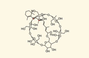 CC1=C(/C=C/C(C)=C/C=C/C(C)=C/C(O)OCC2OC3OC4C(CO)OC(OC5C(CO)OC(OC6C(CO)OC(OC7C(CO)OC(OC8C(CO)OC(OC2C(O)C3O)C(O)C8O)C(O)C7C)C(O)C6O)C(O)C5O)C(O)C4O)C(C)(C)CCC1